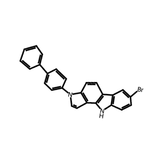 Brc1ccc2[nH]c3c(ccc4c3ccn4-c3ccc(-c4ccccc4)cc3)c2c1